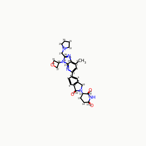 Cc1cc(-c2ccc3c(c2)CN(C2CCC(=O)NC2=O)C3=O)nc2c1nc(CN1CCCC1)n2C1COC1